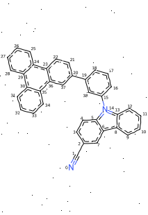 N#Cc1ccc2c(c1)c1ccccc1n2-c1cccc(-c2ccc3c4ccccc4c4ccccc4c3c2)c1